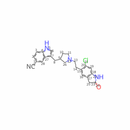 N#Cc1ccc2[nH]cc(CC3CCN(CCc4cc5c(cc4Cl)NC(=O)C5)C3)c2c1